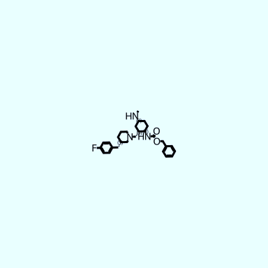 CN[C@@H]1CC[C@@H](NC(=O)OCc2ccccc2)[C@H](CN2CCC[C@@H](Cc3ccc(F)cc3)C2)C1